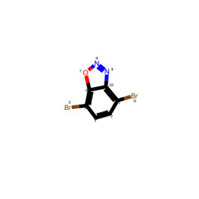 Brc1ccc(Br)c2onnc12